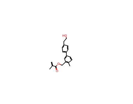 C=C(C)C(=O)OCc1cc(-c2ccc(CCO)cc2)ccc1C